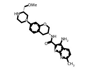 COC[C@@H]1CN(c2ccc3c(c2)OC[C@H](NC(=O)c2sc4nc(C)ccc4c2N)C3)CCN1